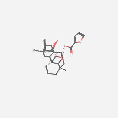 C=C1C(=O)C23CC[C@H]1CC2[C@@]12CCC[C@@](C)(COC1=O)C2C[C@H]3OC(=O)c1ccco1